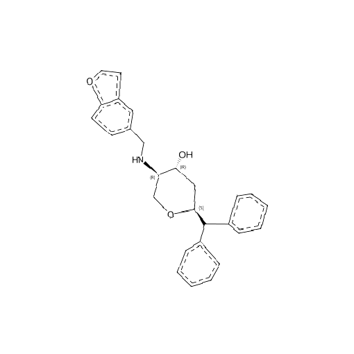 O[C@@H]1C[C@@H](C(c2ccccc2)c2ccccc2)OC[C@H]1NCc1ccc2occc2c1